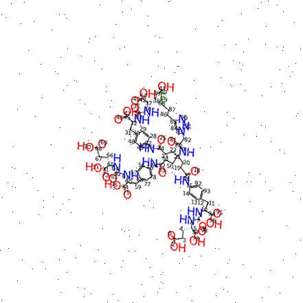 O=C(O)CC[C@H](NC(=O)N[C@@H](Cc1ccc(NC(=O)CCC(CCC(=O)Nc2ccc(C[C@H](NC(=O)N[C@@H](CCCO)C(=O)O)C(=O)O)cc2)(CCC(=O)Nc2ccc(C[C@H](NC(=O)N[C@@H](CCC(=O)O)C(=O)O)C(=O)O)cc2)NC(=O)Cn2cc(CCCF)nn2)cc1)C(=O)O)C(=O)O